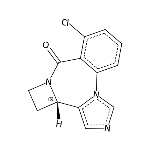 O=C1c2c(Cl)cccc2-n2cncc2[C@@H]2CCN12